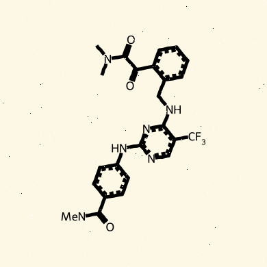 CNC(=O)c1ccc(Nc2ncc(C(F)(F)F)c(NCc3ccccc3C(=O)C(=O)N(C)C)n2)cc1